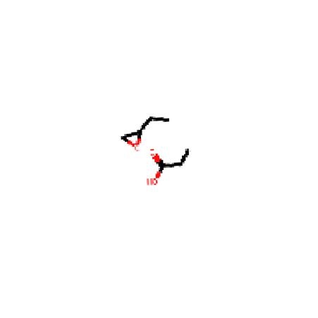 CCC(=O)O.CCC1CO1